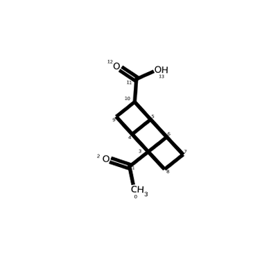 CC(=O)C12C3C4C1C1C2C3C41C(=O)O